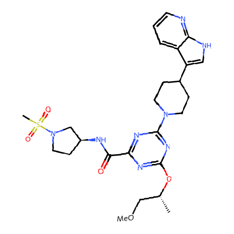 COC[C@@H](C)Oc1nc(C(=O)N[C@H]2CCN(S(C)(=O)=O)C2)nc(N2CCC(c3c[nH]c4ncccc34)CC2)n1